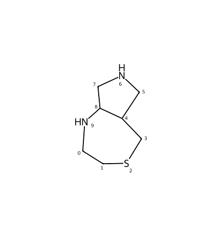 C1CSCC2CNCC2N1